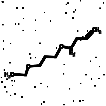 C=CC[SiH2]OCCCOCC